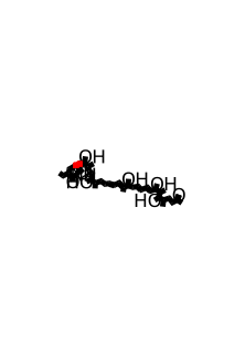 CCC1CC(C)C2(NC1=O)OC(CC(O)C(C)CC/C=C/C=C(\C)C(O)C/C=C/C=C/C(O)C(C)C(O)C(C)CCC(C)=O)C(C)C(O)=C2C